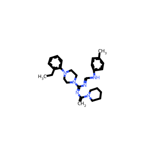 C=C(/N=C(\N=C\Nc1ccc(C)cc1)N1CCN(c2ccccc2CC)CC1)N1CCCCC1